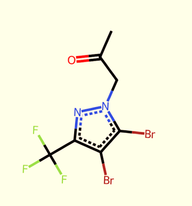 CC(=O)Cn1nc(C(F)(F)F)c(Br)c1Br